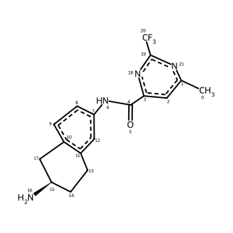 Cc1cc(C(=O)Nc2ccc3c(c2)CC[C@@H](N)C3)nc(C(F)(F)F)n1